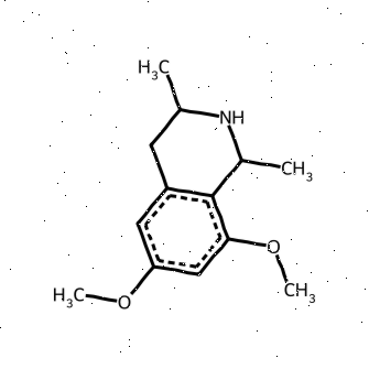 COc1cc2c(c(OC)c1)C(C)NC(C)C2